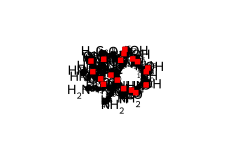 CC(C)C[C@H](NN)C(=O)C(=O)[C@H](Cc1ccc(O)cc1)NNC1Cc2ccccc2CC(C(=O)NC(CCCCN)C(=O)N[C@@H](CCCCN)C(=O)NC(Cc2ccc(O)cc2)C(=O)N[C@@H](CCCNC(=N)N)C(=O)NC(CO)C(=O)O)NN[C@@H](CC(N)=O)C(=O)C(=O)[C@H](CO)NC(=O)[C@H](CO)NC(=O)[C@H](CC(=O)O)NC(=O)[C@H](CC(=O)O)NC1=O